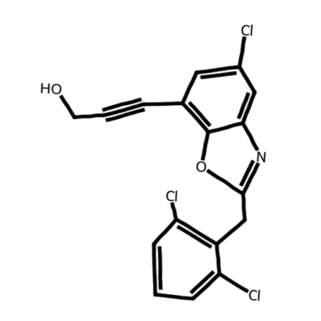 OCC#Cc1cc(Cl)cc2nc(Cc3c(Cl)cccc3Cl)oc12